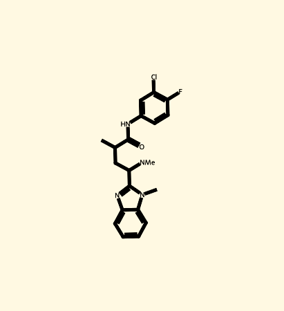 CNC(CC(C)C(=O)Nc1ccc(F)c(Cl)c1)c1nc2ccccc2n1C